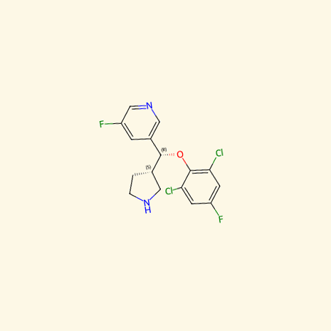 Fc1cncc([C@H](Oc2c(Cl)cc(F)cc2Cl)[C@H]2CCNC2)c1